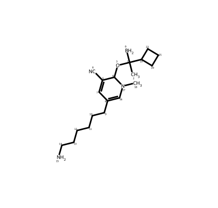 BC(C)(OC1C(C#N)=CC(CCCCCCN)=CN1C)C1CCC1